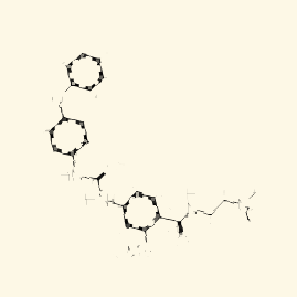 COc1cc(NC(=O)Nc2ccc(Oc3ccccc3)cc2)ccc1C(=O)NCCN(C)C